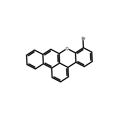 Brc1cccc2c1Oc1cc3ccccc3c3cccc-2c13